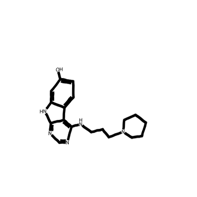 Oc1ccc2c(c1)[nH]c1ncnc(NCCCN3CCCCC3)c12